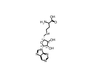 NC(CC[Se]C[C@H]1O[C@@H](n2cnc3cncnc32)[C@H](O)[C@@H]1O)C(=O)O